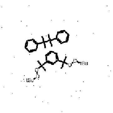 CC(C)(C)OOC(C)(C)c1cccc(C(C)(C)OOC(C)(C)C)c1.CC(C)(c1ccccc1)C(C)(C)c1ccccc1